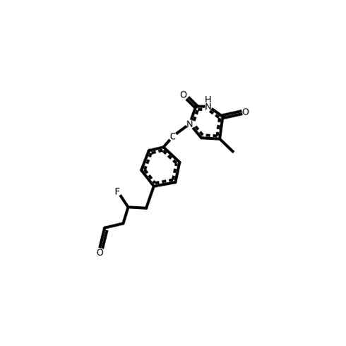 Cc1cn(Cc2ccc(CC(F)CC=O)cc2)c(=O)[nH]c1=O